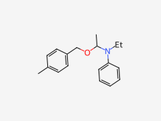 CCN(c1ccccc1)C(C)OCc1ccc(C)cc1